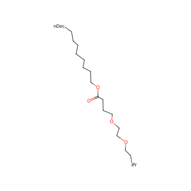 CCCCCCCCCCCCCCCCCCOC(=O)CCCOCCOCCC(C)C